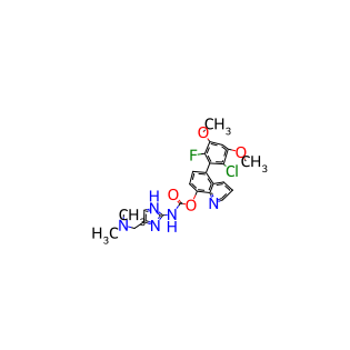 COc1cc(OC)c(Cl)c(-c2ccc(OC(=O)Nc3nc(CN(C)C)c[nH]3)c3ncccc23)c1F